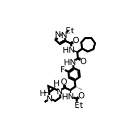 CCC(=O)N[C@@H](C(=O)N1CCN(C)[C@H]2C[C@H]21)[C@@H](C)c1ccc(NC(=O)[C@@H](NC(=O)c2ccnn2CC)C2CCCCCC2)c(F)c1